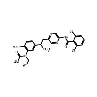 COc1ccc(C(Cc2cnc(NC(=O)c3c(Cl)cccc3Cl)cn2)C(=O)O)cc1N(CC(C)C)C(=O)C(C)(C)C